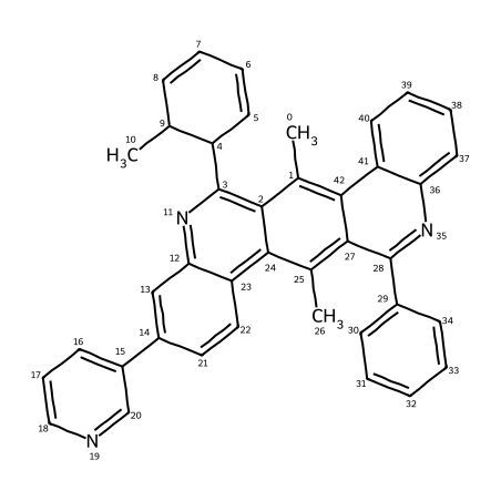 Cc1c2c(C3C=CC=CC3C)nc3cc(-c4cccnc4)ccc3c2c(C)c2c(-c3ccccc3)nc3ccccc3c12